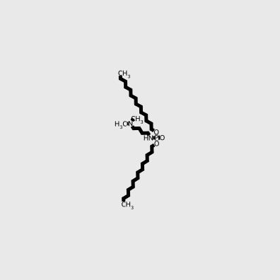 CCCCCCCCCCCCCCOP(=O)(NCCCCN(C)C)OCCCCCCCCCCCCCC